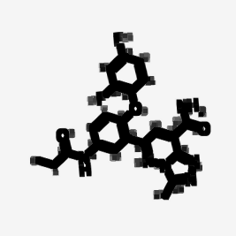 CCC(=O)Nc1ccc(Oc2ccc(F)cc2F)c(-c2cc(C(N)=O)c3nnc(C)n3n2)c1